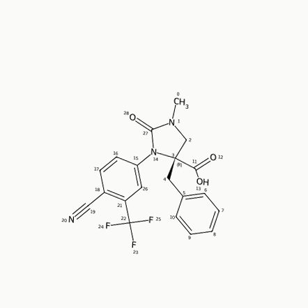 CN1C[C@](Cc2ccccc2)(C(=O)O)N(c2ccc(C#N)c(C(F)(F)F)c2)C1=O